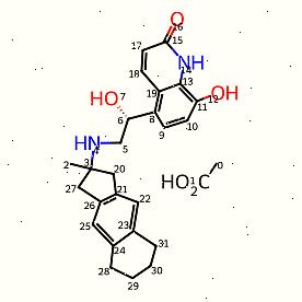 CC(=O)O.CC1(NC[C@H](O)c2ccc(O)c3[nH]c(=O)ccc23)Cc2cc3c(cc2C1)CCCC3